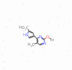 CCOc1ncc(C)c(-c2c[nH]c(C(=O)O)c2)n1